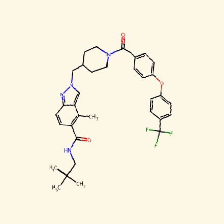 Cc1c(C(=O)NCC(C)(C)C)ccc2nn(CC3CCN(C(=O)c4ccc(Oc5ccc(C(F)(F)F)cc5)cc4)CC3)cc12